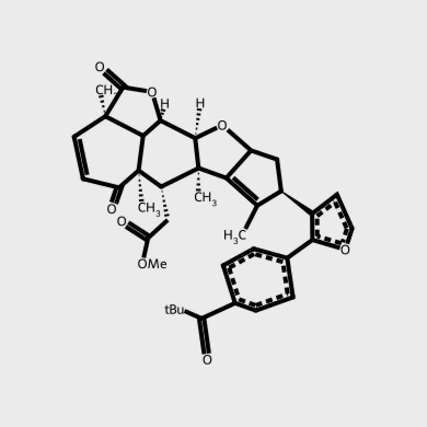 COC(=O)C[C@H]1[C@]2(C)C3=C(C)[C@H](c4ccoc4-c4ccc(C(=O)C(C)(C)C)cc4)CC3O[C@@H]2[C@@H]2OC(=O)[C@]3(C)C=CC(=O)[C@@]1(C)C23